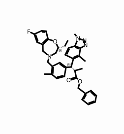 CC[C@@H]1CN(Cc2cc([C@H](c3ccc4c(nnn4C)c3C)C(C)C(=O)OCc3ccccc3)ccc2C)Cc2cc(F)ccc2O1